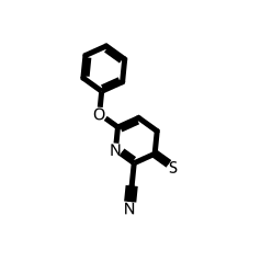 N#CC1=NC(Oc2ccccc2)=CCC1=S